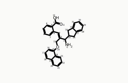 NC(/C(=C/c1ccccc1C(=O)O)COc1cccc2ccccc12)C1Cc2ccccc2C1